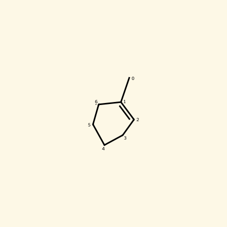 CC1=CCCC[CH]1